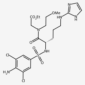 CCOC(=O)CN(CCOC)C(=O)[C@H](CCCNc1ncc[nH]1)NS(=O)(=O)c1cc(Cl)c(N)c(Cl)c1